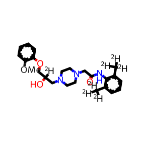 [2H]C(O)(COc1ccccc1OC)CN1CCN(CC(=O)Nc2c(C([2H])([2H])[2H])cccc2C([2H])([2H])[2H])CC1